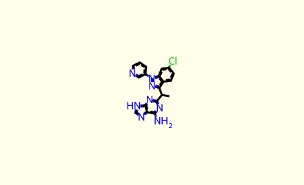 CC(c1nc(N)c2nc[nH]c2n1)c1nn(-c2cccnc2)c2cc(Cl)ccc12